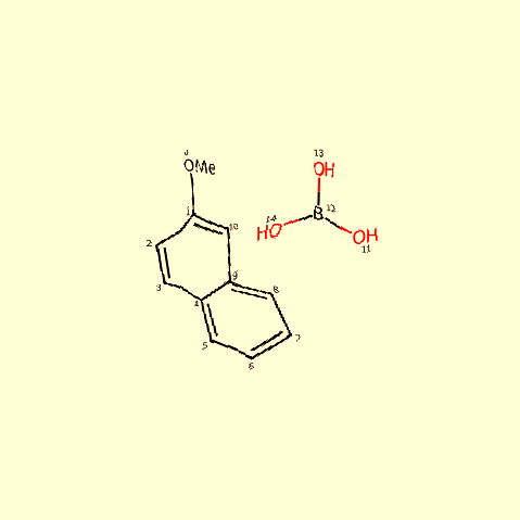 COc1ccc2ccccc2c1.OB(O)O